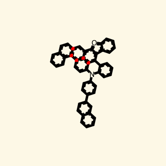 c1ccc(N(c2ccc(-c3ccc4ccccc4c3)cc2)c2ccc(-c3cccc4ccccc34)cc2)c(-c2cc3ccccc3c3oc4ccccc4c23)c1